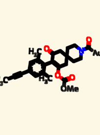 CC#Cc1cc(C)c(C2=C(OC(=O)OC)CC3(CCN(C(=O)C(C)=O)CC3)CC2=O)c(C)c1